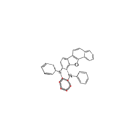 c1ccc(N(c2ccccc2)c2ccc3c(oc4c5ccccc5ccc34)c2N(c2ccccc2)c2ccccc2)cc1